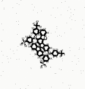 CC(C)(C)c1ccc(N(c2ccc(S(C)(C)C)cc2)c2ccc3c(c2)C2(c4ccccc4-c4ccccc42)c2cc(N(c4ccc(C(C)(C)C)cc4)c4ccc(S(C)(C)C)cc4)c4c(oc5ccccc54)c2-3)cc1